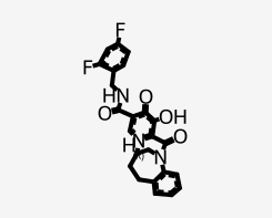 O=C(NCc1ccc(F)cc1F)c1cn2c(c(O)c1=O)C(=O)N1C[C@H]2CCc2ccccc21